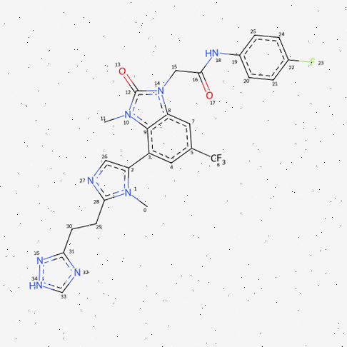 Cn1c(-c2cc(C(F)(F)F)cc3c2n(C)c(=O)n3CC(=O)Nc2ccc(F)cc2)cnc1CCc1nc[nH]n1